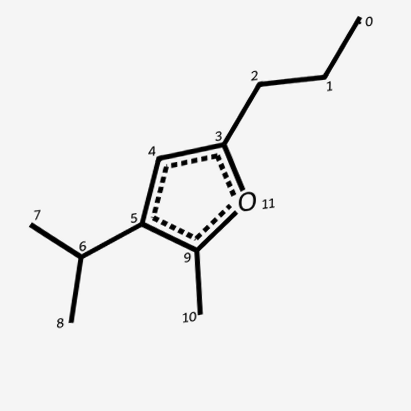 [CH2]CCc1cc(C(C)C)c(C)o1